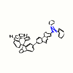 CC1(C)c2ccccc2C2(c3ccccc3-c3ccc(-c4ccc5c(ccc6cc(N(c7ccccc7)c7ccccc7)ccc65)c4)cc32)c2ccccc21